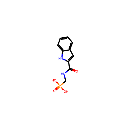 O=C(NCP(=O)(O)O)c1cc2ccccc2[nH]1